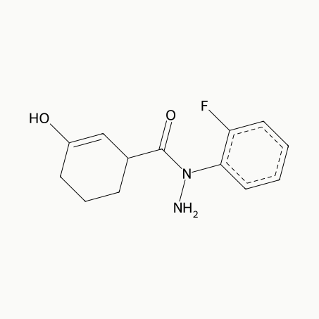 NN(C(=O)C1C=C(O)CCC1)c1ccccc1F